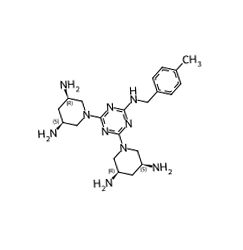 Cc1ccc(CNc2nc(N3C[C@H](N)C[C@H](N)C3)nc(N3C[C@H](N)C[C@H](N)C3)n2)cc1